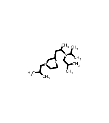 CC(C)CN1CCCC(CC(C)N(CC(C)C)C(C)C)C1